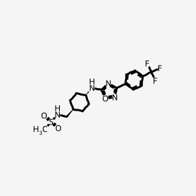 CS(=O)(=O)NC[C@H]1CC[C@H](Nc2nc(-c3ccc(C(F)(F)F)cc3)no2)CC1